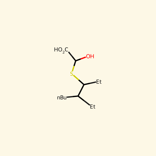 CCCCC(CC)C(CC)SC(O)C(=O)O